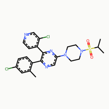 Cc1cc(Cl)ccc1-c1ncc(N2CCN(S(=O)(=O)C(C)C)CC2)nc1-c1ccncc1Cl